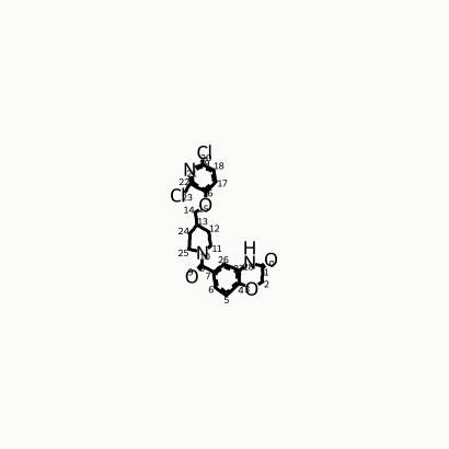 O=C1COc2ccc(C(=O)N3CCC(COc4ccc(Cl)nc4Cl)CC3)cc2N1